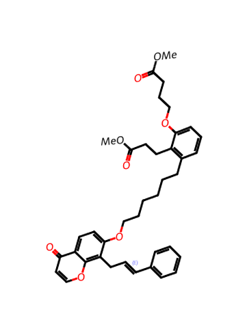 COC(=O)CCCOc1cccc(CCCCCCOc2ccc3c(=O)ccoc3c2C/C=C/c2ccccc2)c1CCC(=O)OC